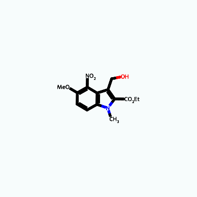 CCOC(=O)c1c(CO)c2c([N+](=O)[O-])c(OC)ccc2n1C